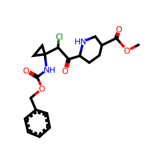 COC(=O)C1CCC(C(=O)C(Cl)C2(NC(=O)OCc3ccccc3)CC2)NC1